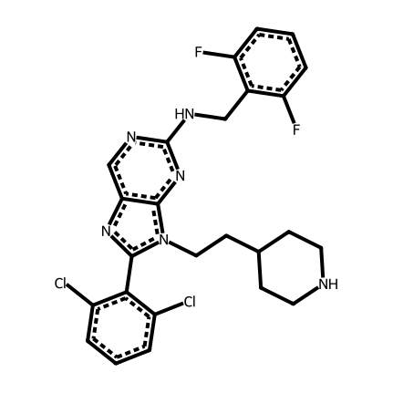 Fc1cccc(F)c1CNc1ncc2nc(-c3c(Cl)cccc3Cl)n(CCC3CCNCC3)c2n1